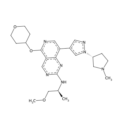 COC[C@H](C)Nc1ncc2c(OC3CCOCC3)ncc(-c3cnn([C@@H]4CCN(C)C4)c3)c2n1